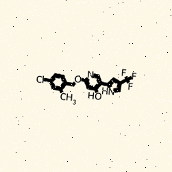 Cc1cc(Cl)ccc1COc1cc(O)c(-c2cc(C(F)(F)F)c[nH]2)cn1